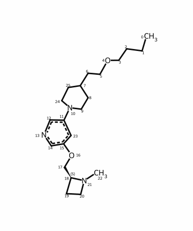 CCCCOCCC1CCN(c2cncc(OC[C@@H]3CCN3C)c2)CC1